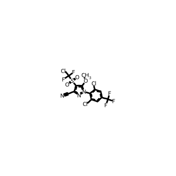 COc1c(S(=O)(=O)C(F)(F)Cl)c(C#N)nn1-c1c(Cl)cc(C(F)(F)F)cc1Cl